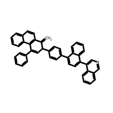 C=C1c2ccc3ccccc3c2C(c2ccccc2)=CC1c1ccc(-c2ccc(-c3cncc4ccccc34)c3ccccc23)cc1